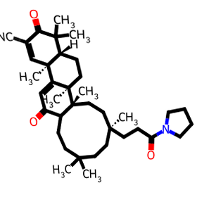 CC1(C)CCC2C(=O)C=C3[C@@]4(C)C=C(C#N)C(=O)C(C)(C)[C@@H]4CC[C@@]3(C)[C@]2(C)CC[C@@](C)(CCC(=O)N2CCCC2)CC1